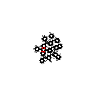 Cc1cc(N(c2ccccc2)c2ccccc2)cc(N2c3cc4ccccc4cc3B3c4cc5ccccc5cc4N(c4cc(N(c5ccccc5)c5ccccc5)cc(N(c5ccccc5)c5ccccc5)c4)c4cc(-c5ccc(-c6ccccc6)cc5)cc2c43)c1